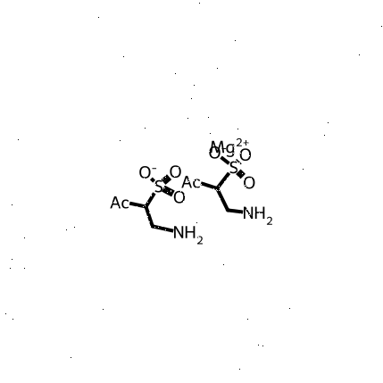 CC(=O)C(CN)S(=O)(=O)[O-].CC(=O)C(CN)S(=O)(=O)[O-].[Mg+2]